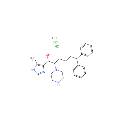 Cc1[nH]cnc1C(O)C(CCCC(c1ccccc1)c1ccccc1)N1CCNCC1.Cl.Cl.Cl